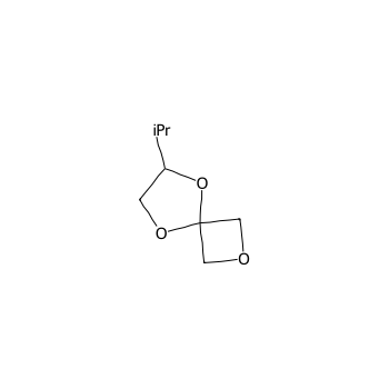 CC(C)C1COC2(COC2)O1